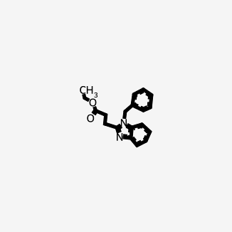 CCOC(=O)CCc1nc2ccccc2n1Cc1ccccc1